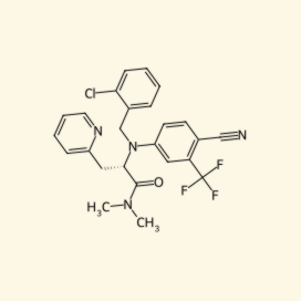 CN(C)C(=O)[C@H](Cc1ccccn1)N(Cc1ccccc1Cl)c1ccc(C#N)c(C(F)(F)F)c1